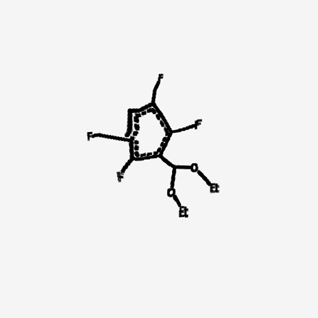 CCOC(OCC)c1c(F)c(F)cc(F)c1F